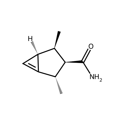 C[C@H]1[C@@H](C(N)=O)[C@H](C)C2=C[C@H]21